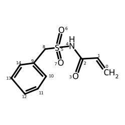 C=CC(=O)NS(=O)(=O)Cc1ccccc1